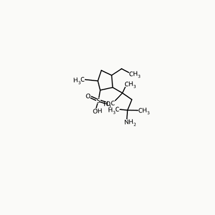 CCC1CC(C)C(S(=O)(=O)O)C1C(C)(C)CC(C)(C)N